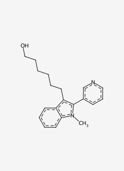 Cn1c(-c2cccnc2)c(CCCCCCO)c2ccccc21